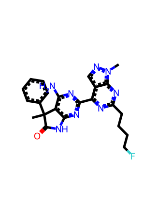 Cn1ncc2c(-c3nc(N)c4c(n3)NC(=O)C4(C)c3ccccc3)nc(CCCCF)nc21